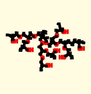 CCC(COCC(COCC(C)O)OCC(C)O)(COCC(COCC(C)O)OCC(C)O)COCC(COCC(C)O)OCC(CCCC(C)O)OCC(C)O